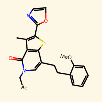 COc1ccccc1CCc1cn(CC(C)=O)c(=O)c2c(C)c(-c3ncco3)sc12